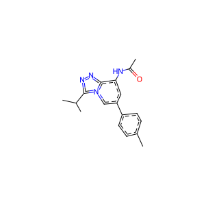 CC(=O)Nc1cc(-c2ccc(C)cc2)cn2c(C(C)C)nnc12